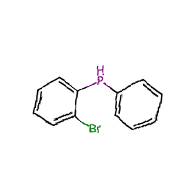 Brc1ccccc1Pc1ccccc1